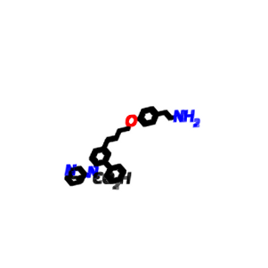 NCCc1ccc(OCCC=Cc2ccc(N(C(=O)O)C3CN4CCC3CC4)c(-c3ccccc3)c2)cc1